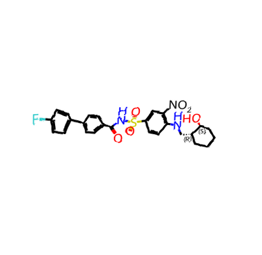 O=C(NS(=O)(=O)c1ccc(NC[C@H]2CCCC[C@@H]2O)c([N+](=O)[O-])c1)c1ccc(-c2ccc(F)cc2)cc1